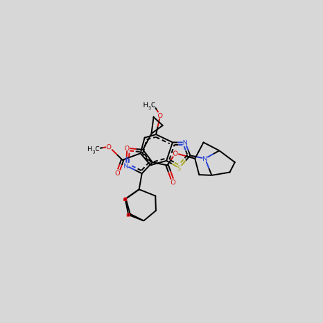 COC(=O)c1cc(OC)c2nc(N3C4CCC3CC(OC(=O)c3c(C56CCC(CC5)CC6)noc3C3CC3)C4)sc2c1